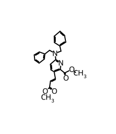 COC(=O)C=Cc1ccc(N(Cc2ccccc2)Cc2ccccc2)nc1C(=O)OC